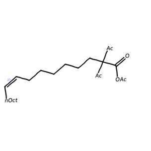 CCCCCCCC/C=C\CCCCCCC(C(C)=O)(C(C)=O)C(=O)OC(C)=O